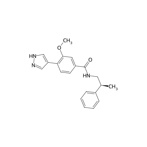 COc1cc(C(=O)NC[C@@H](C)c2ccccc2)ccc1-c1cn[nH]c1